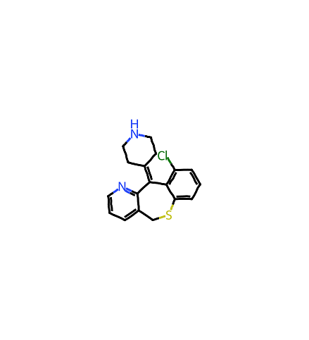 Clc1cccc2c1C(=C1CCNCC1)c1ncccc1CS2